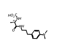 C[C@@H](NC(=O)O)C(=O)NCCCc1ccc(N(C)C)cc1